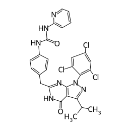 CC(C)c1nn(-c2c(Cl)cc(Cl)cc2Cl)c2nc(Cc3ccc(NC(=O)Nc4ccccn4)cc3)[nH]c(=O)c12